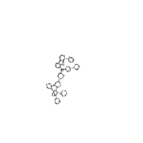 c1ccc(-c2ccc(N(c3ccc(-c4ccc5c(c4)c4ccccc4c4oc(-c6ccccc6)c(-c6ccccc6)c54)cc3)c3cccc4c3sc3c(-c5ccccc5)cccc34)cc2)cc1